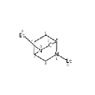 CCN1CC2CCC1CN2CC